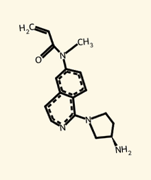 C=CC(=O)N(C)c1ccc2c(N3CC[C@@H](N)C3)nccc2c1